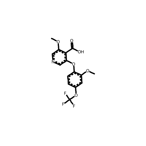 COc1cc(OC(F)(F)F)ccc1Oc1cncc(OC)c1C(=O)O